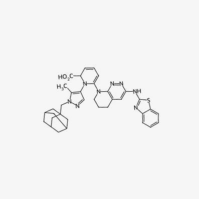 Cc1c(N2C(N3CCCc4cc(Nc5nc6ccccc6s5)nnc43)=CC=CC2C(=O)O)cnn1CC12CC3CC(CC(C3)C1)C2